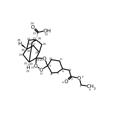 CCOC(=O)CC1CCC2(CC1)OOC1(O2)C2C[C@@H]3C[C@H]1C[C@](C(=O)O)(C2)C3